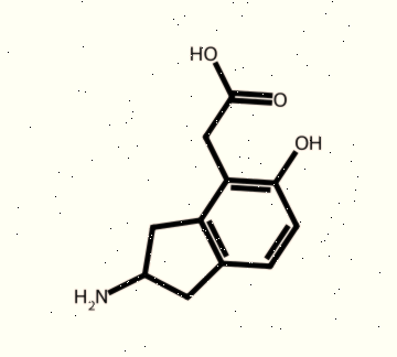 NC1Cc2ccc(O)c(CC(=O)O)c2C1